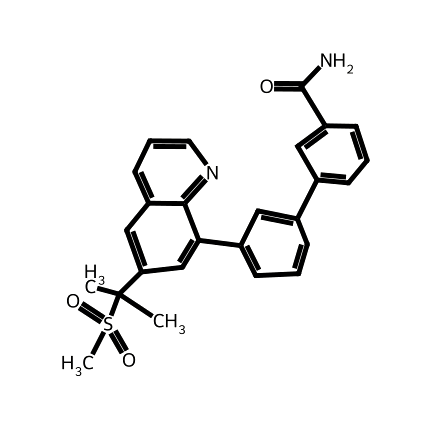 CC(C)(c1cc(-c2cccc(-c3cccc(C(N)=O)c3)c2)c2ncccc2c1)S(C)(=O)=O